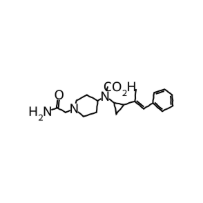 C/C(=C\c1ccccc1)C1CC1N(C(=O)O)C1CCN(CC(N)=O)CC1